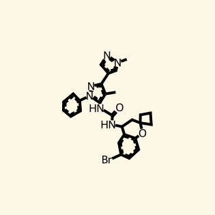 Cc1c(-c2cnn(C)c2)nn(-c2ccccc2)c1NC(=O)NC1CC2(CCC2)Oc2ccc(Br)cc21